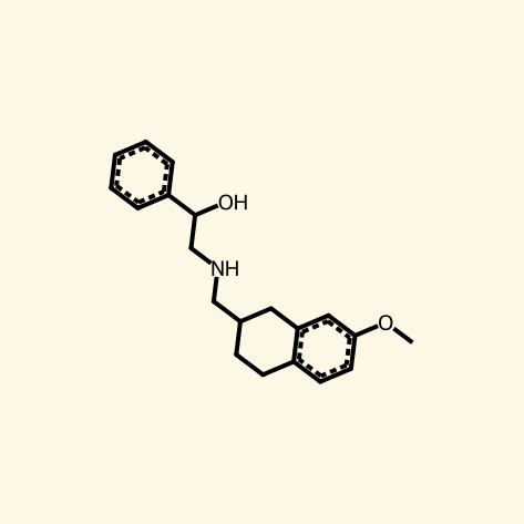 COc1ccc2c(c1)CC(CNCC(O)c1ccccc1)CC2